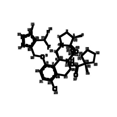 C[C@@H]1CCN(C[C@@H]2c3c(OCc4nnn(C)c4C(F)F)ccc(Cl)c3CCN2C(=O)[C@@H]2CCC[C@]2(C)C(=O)O)C1=O